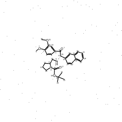 COc1ccc(C(=O)[C@@H](NCC2CCCN2C(=O)OC(C)(C)C)c2ccc3ccccc3c2)cc1OC